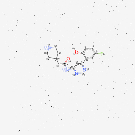 COc1ccc(F)cc1-c1cc(NC(=O)CC2CCNCC2)ncn1